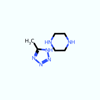 C1CNCCN1.Cc1nnn[nH]1